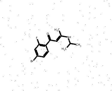 C/C(=C\C(=O)c1ccc(Br)cc1F)NC(C)C